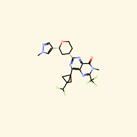 Cn1cc([C@H]2C[C@@H](c3nc(C45CC(C(F)F)(C4)C5)c4nc(C(F)(F)F)n(C)c(=O)c4n3)CCO2)cn1